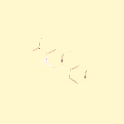 O=C(O)C1=CC(F)=C(c2ccc(F)cc2)CN1